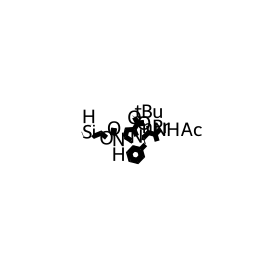 CCC[C@@H](C(C)NC(C)=O)[C@H](Cc1ccccc1)N1CC(NC(=O)OCC[SiH](C)C)CC1C(=O)OC(C)(C)C